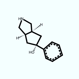 O[C@]1(c2ccccc2)C[C@H]2CNC[C@H]2C1